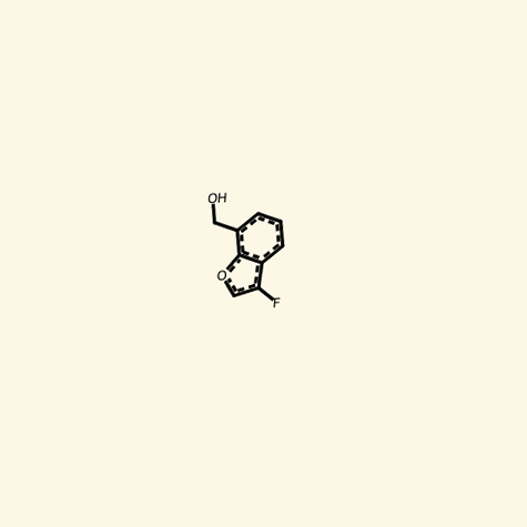 OCc1cccc2c(F)coc12